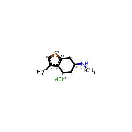 CNC1CCc2c(C)csc2C1.Cl